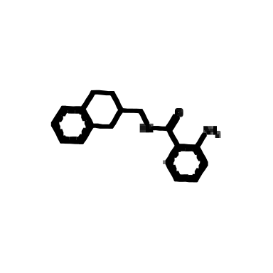 Nc1ccc[c]c1C(=O)NCC1CCc2ccccc2C1